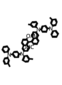 COc1ccc2cc(N(c3ccc(N(c4ccccc4)c4cccc(C)c4)cc3)c3cccc(C)c3)ccc2c1-c1c(C=O)ccc2cc(N(c3ccc(N(c4ccccc4)c4cccc(C)c4)cc3)c3cccc(C)c3)ccc12